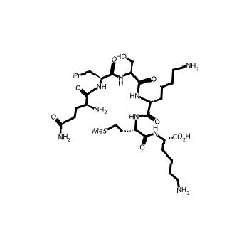 CSCC[C@H](NC(=O)[C@H](CCCCN)NC(=O)[C@H](CO)NC(=O)[C@H](CC(C)C)NC(=O)[C@@H](N)CCC(N)=O)C(=O)N[C@@H](CCCCN)C(=O)O